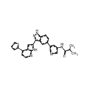 CC(C)C(=O)Nc1cncc(-c2ccc3[nH]nc(-c4cc5c(-c6cccs6)ccnc5[nH]4)c3c2)c1